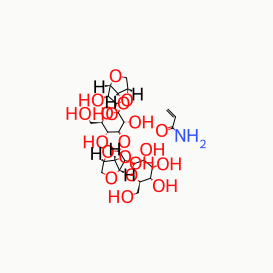 C=CC(N)=O.OC[C@H]1O[C@@H](O[C@@H]2[C@H]3OC[C@@H]2O[C@@H](O[C@@H]2[C@@H](O)[C@H](O[C@@H]4[C@H]5OC[C@@H]4O[C@@H](O)[C@H]5O)O[C@H](CO)[C@H]2O)[C@H]3O)[C@H](O)[C@@H](O)[C@H]1O